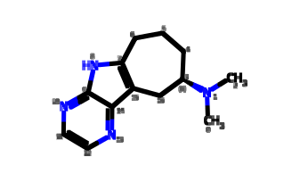 CN(C)[C@@H]1CCCc2[nH]c3nccnc3c2C1